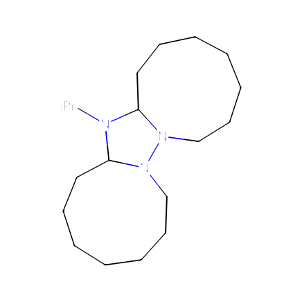 CC(C)N1C2CCCCCCCN2N2CCCCCCCC12